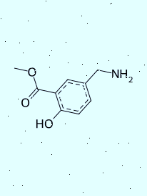 COC(=O)c1cc(CN)ccc1O